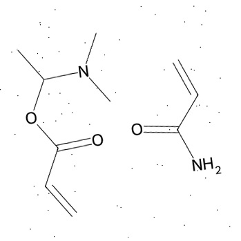 C=CC(=O)OC(C)N(C)C.C=CC(N)=O